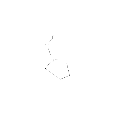 CCO[SiH]1CCCS1